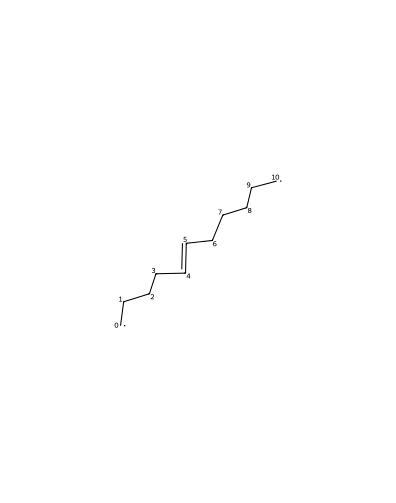 [CH2]CCCC=CCCCC[CH2]